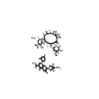 CC[C@H]1OC(=O)[C@H](C)[C@@H](O[C@H]2C[C@@](C)(OC)[C@@H](O)[C@H](C)O2)[C@H](C)[C@@H](O[C@@H]2O[C@H](C)C[C@H](N(C)C)[C@H]2O)[C@](C)(OC)C[C@@H](C)C(=O)[C@H](C)[C@@H](O)[C@]1(C)O.N[C@@H]1[C@H]2CN(c3nc4c(cc3F)c(=O)c(C(=O)O)cn4-c3ccc(F)cc3F)C[C@@H]12.[Cl-].[Li+]